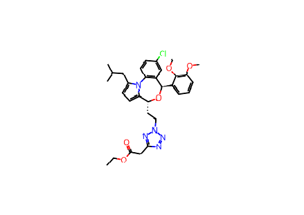 CCOC(=O)Cc1nnn(CC[C@H]2O[C@H](c3cccc(OC)c3OC)c3cc(Cl)ccc3-n3c(CC(C)C)ccc32)n1